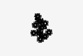 C1=CC2Sc3cc(-c4nc(-c5ccccc5)nc(-n5c6ccccc6c6ccc(-c7ccccc7)cc65)n4)ccc3C2C(C2=Nc3c(sc4ccccc34)C(c3ccccc3)N2)=C1